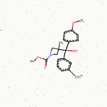 CC(C)(C)OC(=O)N1CC(C)([C@](O)(c2ccc(OC(F)(F)F)cc2)c2cccc(C(=O)O)c2)C1